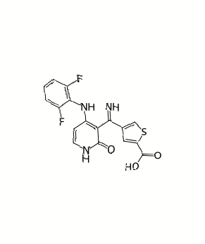 N=C(c1csc(C(=O)O)c1)c1c(Nc2c(F)cccc2F)cc[nH]c1=O